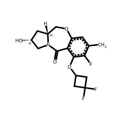 Cc1cc2c(c(OC3CC(F)(F)C3)c1F)C(=O)N1C[C@H](O)C[C@@H]1CO2